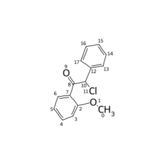 COc1ccccc1C(=O)C(Cl)c1ccccc1